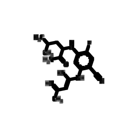 CC(=N)/C=C(\S)Nc1cc(NC(CC(C)C)C(N)=O)c(F)cc1C#N